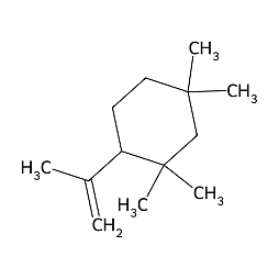 C=C(C)C1CCC(C)(C)CC1(C)C